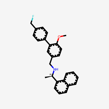 COc1ccc(CN[C@H](C)c2cccc3ccccc23)cc1-c1ccc(CF)cc1